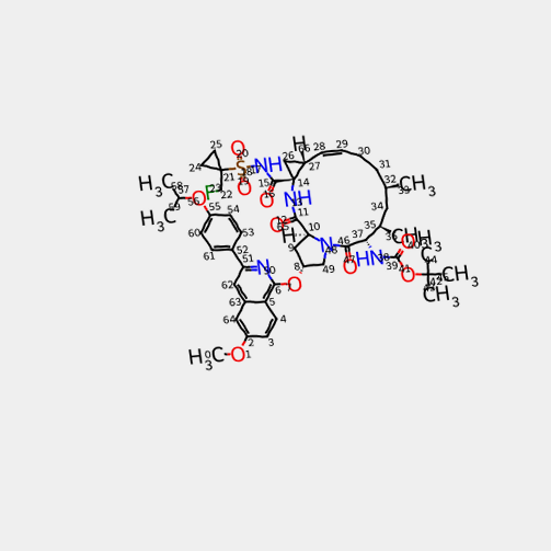 COc1ccc2c(O[C@@H]3C[C@H]4C(=O)N[C@]5(C(=O)NS(=O)(=O)C6(CF)CC6)C[C@@H]5/C=C\CC[C@@H](C)C[C@@H](C)[C@H](NC(=O)OC(C)(C)C)C(=O)N4C3)nc(-c3ccc(OC(C)C)cc3)cc2c1